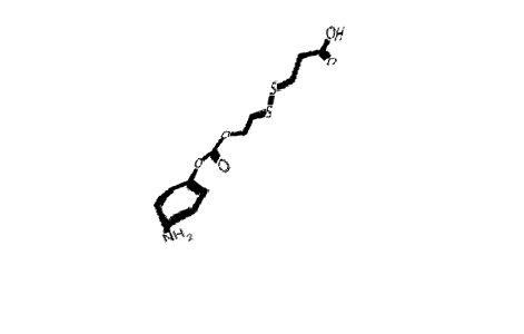 Nc1ccc(OC(=O)OCCSSCCC(=O)O)cc1